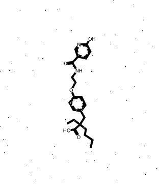 CCCCC(CC)(Cc1ccc(OCCNC(=O)c2ccc(O)nc2)cc1)C(=O)O